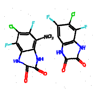 O=c1[nH]c2c(F)c(Cl)c(F)c([N+](=O)[O-])c2[nH]c1=O.O=c1[nH]c2cc(F)c(Cl)c(F)c2[nH]c1=O